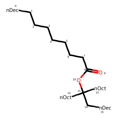 CCCCCCCCCCCCCCCCCC(=O)OC(CCCCCCCC)(CCCCCCCC)CCCCCCCCCCC